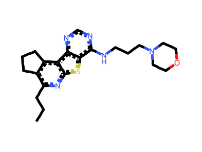 CCCc1nc2sc3c(NCCCN4CCOCC4)ncnc3c2c2c1CCC2